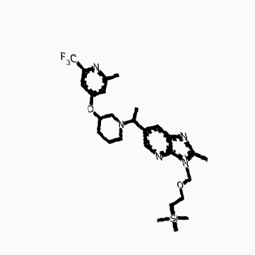 Cc1cc(OC2CCCN(C(C)c3cnc4c(c3)nc(C)n4COCC[Si](C)(C)C)C2)cc(C(F)(F)F)n1